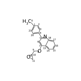 Cc1ccc(-c2cc(OCC3CO3)c3ccccc3n2)cc1